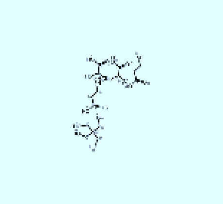 CC(S)C(=O)O.CC(S)C(=O)O.O=C(O)CCS.O=C(O)CCS.OCC(CO)(CO)CO